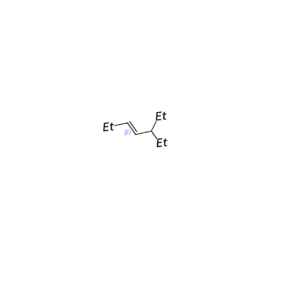 [CH2]CC(/C=C/CC)CC